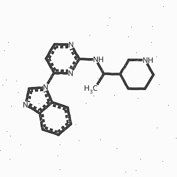 CC(Nc1nccc(-n2cnc3ccccc32)n1)C1CCCNC1